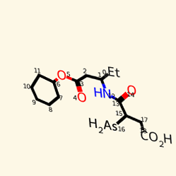 CCC(CC(=O)OC1CCCCC1)NC(=O)C([AsH2])CC(=O)O